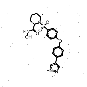 O=C(NO)C1CCCCN1S(=O)(=O)c1ccc(Oc2ccc(-c3cn[nH]c3)cc2)cc1